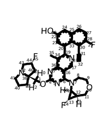 [2H]C([2H])(Oc1nc(N2CCOC[C@H]3[C@H](F)[C@H]32)c2cnc(-c3cc(O)cc4ccc(F)c(C#C)c34)c(C)c2n1)[C@@]12CCCN1C[C@H](F)C2